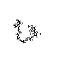 CCC(C)(C)C(=O)[C@@H](CCCCNC(=O)CCC(C)(C)OCCC(C)(C)OCCNC(=O)CC[C@H](NC(=O)C(N)CC(C)C(=O)O)C(=O)O)NC(C)(C)C